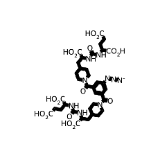 [N-]=[N+]=Nc1cc(C(=O)N2CCC(CC(NC(=O)NC(CCC(=O)O)C(=O)O)C(=O)O)CC2)cc(C(=O)N2CCC(CC(NC(=O)NC(CCC(=O)O)C(=O)O)C(=O)O)CC2)c1